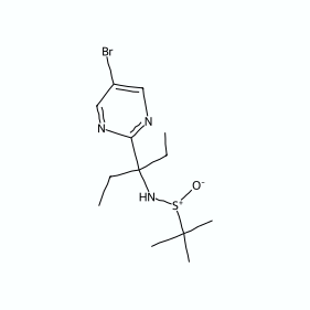 CCC(CC)(N[S+]([O-])C(C)(C)C)c1ncc(Br)cn1